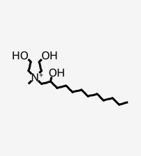 CCCCCCCCCCC(O)C[N+](C)(CCO)CCO